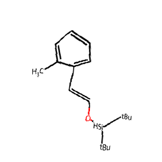 Cc1ccccc1C=CO[SiH](C(C)(C)C)C(C)(C)C